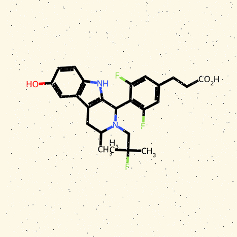 CC1Cc2c([nH]c3ccc(O)cc23)C(c2c(F)cc(CCC(=O)O)cc2F)N1CC(C)(C)F